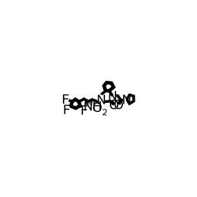 N[C@@H](CC(=O)N1CC(=O)N(CC(=O)N2CCCC2)c2ccccc2C1)Cc1cc(F)c(F)cc1F